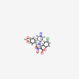 O=c1oc2ccc(Cl)cc2c(N(Cc2ccc3c(c2)OCO3)C2CCNCC2)c1[N+](=O)[O-]